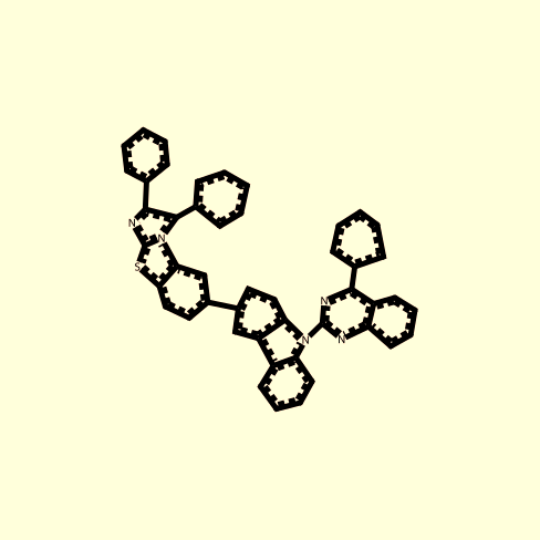 c1ccc(-c2nc3sc4ccc(-c5ccc6c(c5)c5ccccc5n6-c5nc(-c6ccccc6)c6ccccc6n5)cc4n3c2-c2ccccc2)cc1